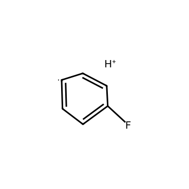 Fc1cc[c]cc1.[H+]